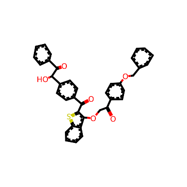 O=C(COc1c(C(=O)c2ccc(C(O)C(=O)c3ccccc3)cc2)sc2ccccc12)c1ccc(OCc2ccccc2)cc1